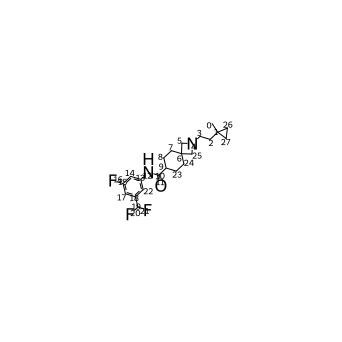 CC1(CCN2CC3(CCC(C(=O)Nc4cc(F)cc(C(F)F)c4)CC3)C2)CC1